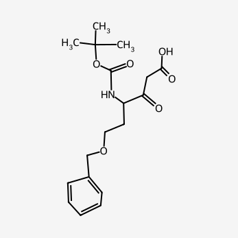 CC(C)(C)OC(=O)NC(CCOCc1ccccc1)C(=O)CC(=O)O